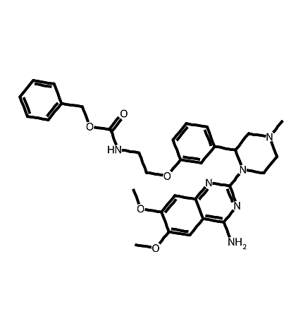 COc1cc2nc(N3CCN(C)CC3c3cccc(OCCNC(=O)OCc4ccccc4)c3)nc(N)c2cc1OC